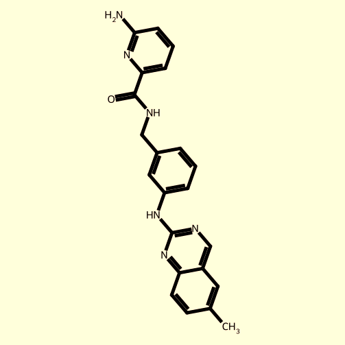 Cc1ccc2nc(Nc3cccc(CNC(=O)c4cccc(N)n4)c3)ncc2c1